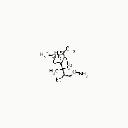 CCC(CON)C(C)(C)C(O[SiH2]C)O[SiH2]C